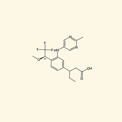 CCC(CC(=O)O)c1ccc([C@@H](OC)C(F)(F)F)c(Nc2cnc(C)nc2)c1